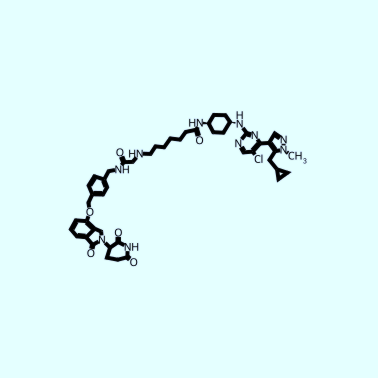 Cn1ncc(-c2nc(N[C@H]3CC[C@H](NC(=O)CCCCCCNCC(=O)NCc4ccc(COc5cccc6c5CN(C5CCC(=O)NC5=O)C6=O)cc4)CC3)ncc2Cl)c1CC1CC1